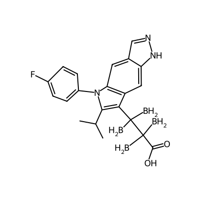 BC(B)(C(=O)O)C(B)(B)c1c(C(C)C)n(-c2ccc(F)cc2)c2cc3cn[nH]c3cc12